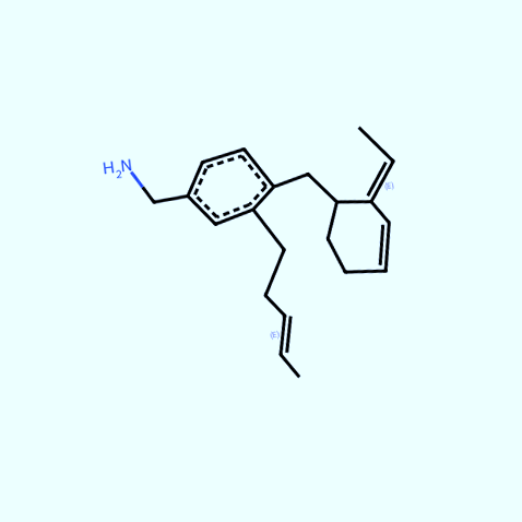 C/C=C/CCc1cc(CN)ccc1CC1CCC=C/C1=C/C